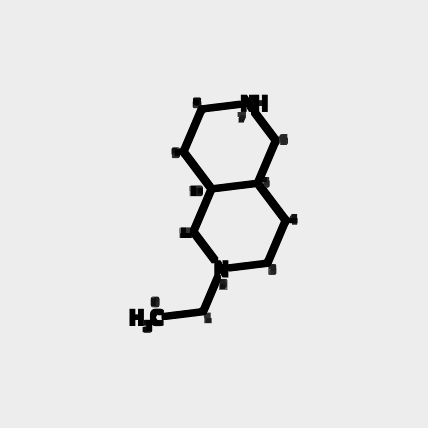 CCN1CCC2CNCCC2C1